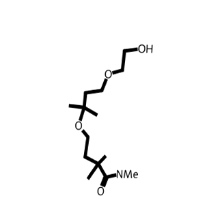 CNC(=O)C(C)(C)CCOC(C)(C)CCOCCO